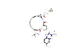 CC[C@@H]1C[C@H](C)CCC=C[C@@H]2C[C@@]2(C(=O)NS(=O)(=O)C2CC2)NC(=O)[C@@H]2C[C@@H](Oc3nc4ccc(OC)cc4nc3N(C)C)CN2C(=O)[C@H]1N(C(=O)O)C(C)(C)C(F)(F)F